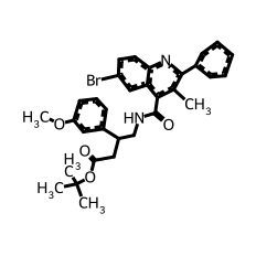 COc1cccc(C(CNC(=O)c2c(C)c(-c3ccccc3)nc3ccc(Br)cc23)CC(=O)OC(C)(C)C)c1